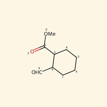 COC(=O)C1CCCCC1C=O